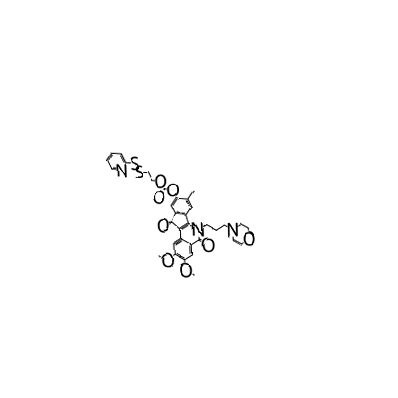 COc1cc2c3c(n(CCCN4CCOCC4)c(=O)c2cc1OC)-c1cc(C)c(OC(=O)OCCSSc2ccccn2)cc1C3=O